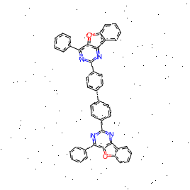 c1ccc(-c2nc(-c3ccc(-c4ccc(-c5nc(-c6ccccc6)c6oc7ccccc7c6n5)cc4)cc3)nc3c2oc2ccccc23)cc1